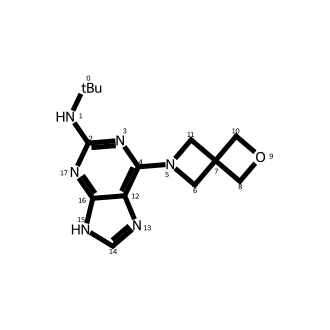 CC(C)(C)Nc1nc(N2CC3(COC3)C2)c2nc[nH]c2n1